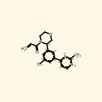 C=CC(=O)N1CCOCC1c1cc(Cl)cc(-c2ccnc(C)n2)c1